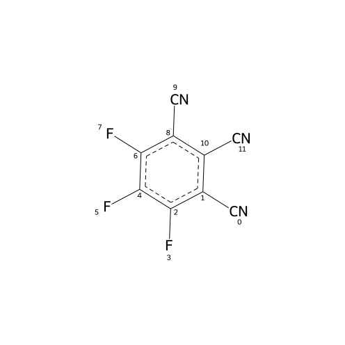 N#Cc1c(F)c(F)c(F)c(C#N)c1C#N